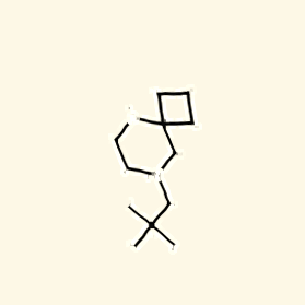 CC(C)(C)CN1CCOC2(CCC2)C1